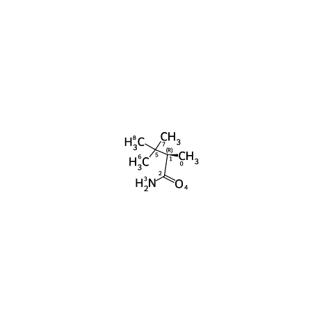 C[C@@H](C(N)=O)C(C)(C)C